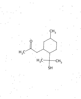 CC(=O)CC1CC(C)CCC1C(C)(C)S